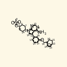 CS(=O)(=O)O[C@H]1CC[C@H](n2cc(-c3cccc(OCC45CCC(CC4)O5)c3)c3c(N)ncnc32)CC1